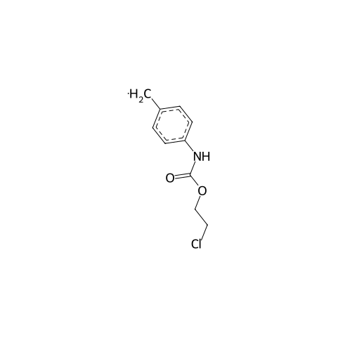 [CH2]c1ccc(NC(=O)OCCCl)cc1